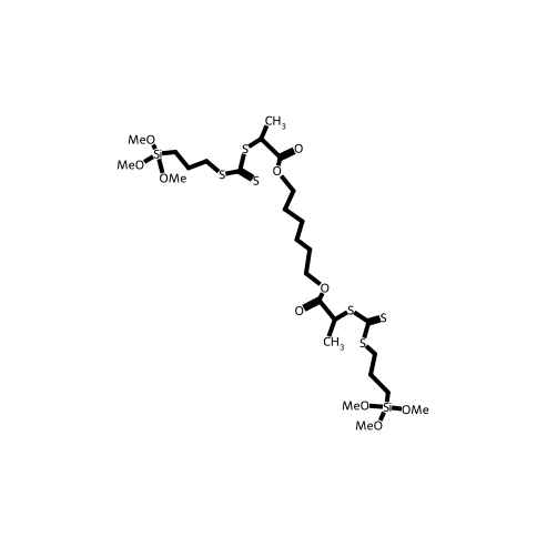 CO[Si](CCCSC(=S)SC(C)C(=O)OCCCCCCOC(=O)C(C)SC(=S)SCCC[Si](OC)(OC)OC)(OC)OC